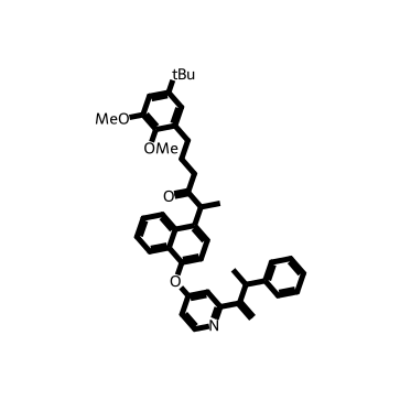 C=C(c1cc(Oc2ccc(C(C)C(=O)CCCc3cc(C(C)(C)C)cc(OC)c3OC)c3ccccc23)ccn1)C(C)c1ccccc1